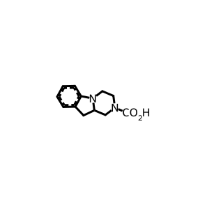 O=C(O)N1CCN2c3ccccc3CC2C1